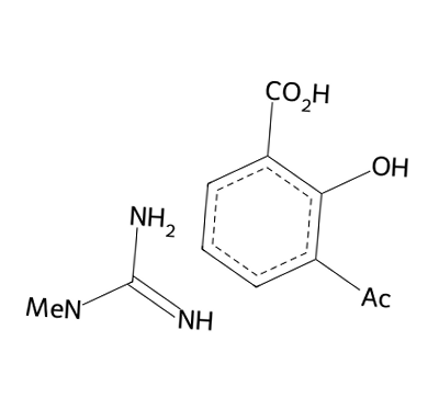 CC(=O)c1cccc(C(=O)O)c1O.CNC(=N)N